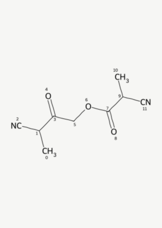 CC(C#N)C(=O)COC(=O)C(C)C#N